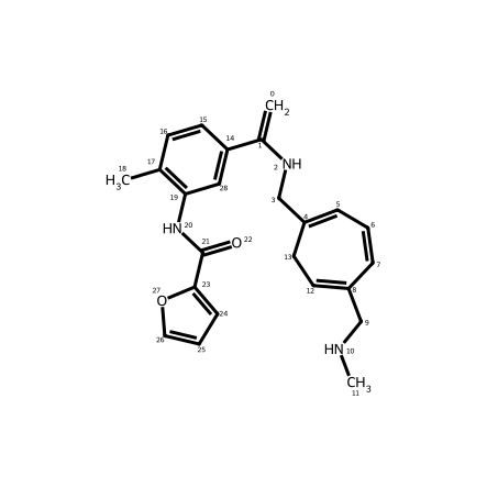 C=C(NCC1=CC=CC(CNC)=CC1)c1ccc(C)c(NC(=O)c2ccco2)c1